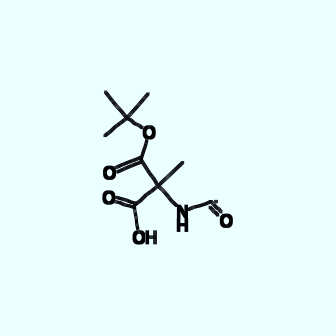 CC(C)(C)OC(=O)C(C)(N[C]=O)C(=O)O